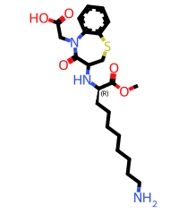 COC(=O)[C@@H](CCCCCCCCN)NC1CSc2ccccc2N(CC(=O)O)C1=O